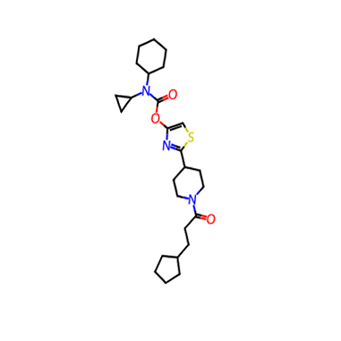 O=C(CCC1CCCC1)N1CCC(c2nc(OC(=O)N(C3CCCCC3)C3CC3)cs2)CC1